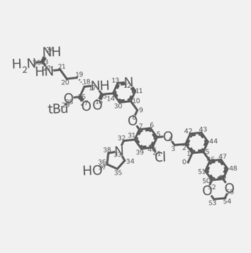 Cc1c(COc2cc(OCc3cncc(C(=O)N[C@@H](CCCNC(=N)N)C(=O)OC(C)(C)C)c3)c(CN3CC[C@H](O)C3)cc2Cl)cccc1-c1ccc2c(c1)OCCO2